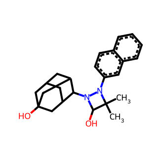 CC1(C)C(O)N(C2C3CC4CC2CC(O)(C4)C3)N1c1ccc2ccccc2c1